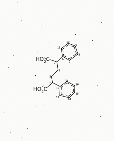 O=C(O)C([CH]CC(C(=O)O)c1ccccc1)c1ccccc1